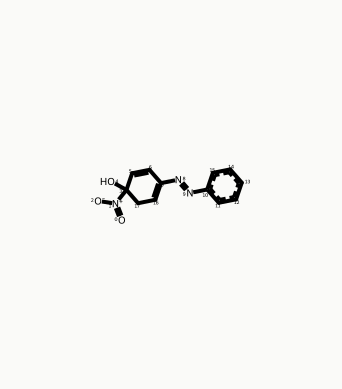 O=[N+]([O-])C1(O)C=CC(N=Nc2ccccc2)=CC1